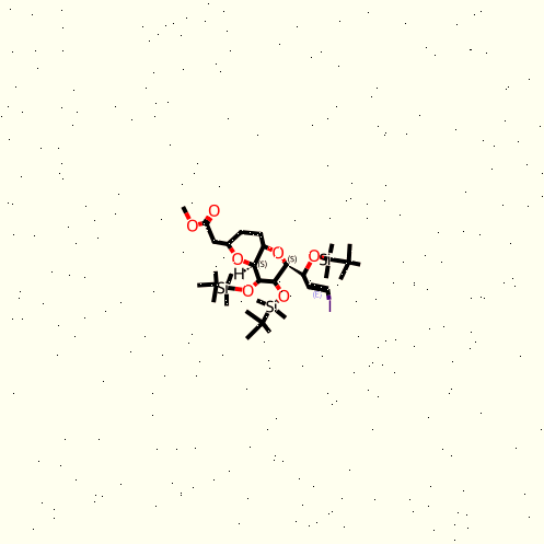 COC(=O)CC1CCC2O[C@@H](C(/C=C/I)O[Si](C)(C)C(C)(C)C)C(O[Si](C)(C)C(C)(C)C)C(O[Si](C)(C)C(C)(C)C)[C@H]2O1